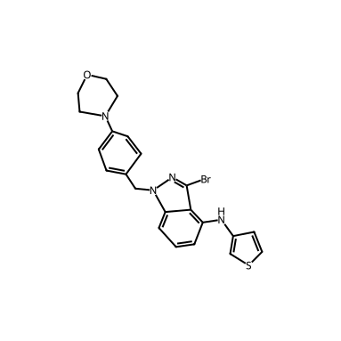 Brc1nn(Cc2ccc(N3CCOCC3)cc2)c2cccc(Nc3ccsc3)c12